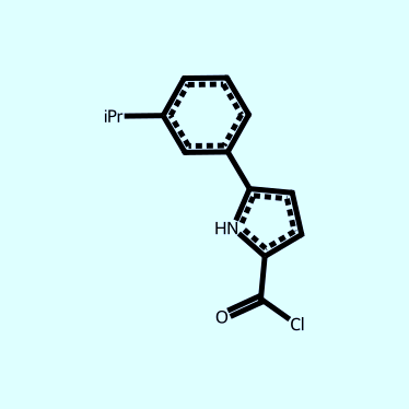 CC(C)c1cccc(-c2ccc(C(=O)Cl)[nH]2)c1